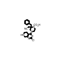 N#CCC1(Cc2ccccc2)CN(c2nc(Cl)nc3c2CCNC3)CCN1C(=O)O